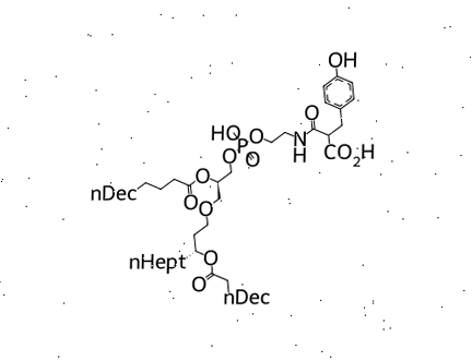 CCCCCCCCCCCCCC(=O)O[C@H](COCC[C@@H](CCCCCCC)OC(=O)CCCCCCCCCCC)COP(=O)(O)OCCNC(=O)C(Cc1ccc(O)cc1)C(=O)O